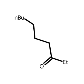 C[CH]C(=O)CCCCCCC